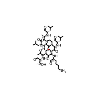 CC(=O)[C@H](N[C@H](C=O)[C@@H](C)O)N1CCN(C(=O)[C@H](N[C@H](C=O)CC(C)C)N2CCN(C(=O)[C@@H](C)N[C@H](C=O)CC(C)C)[C@@H](N[C@H](C=O)CC(C)C)C2=O)[C@@H](N[C@H](C=O)CCCCN)C1=O